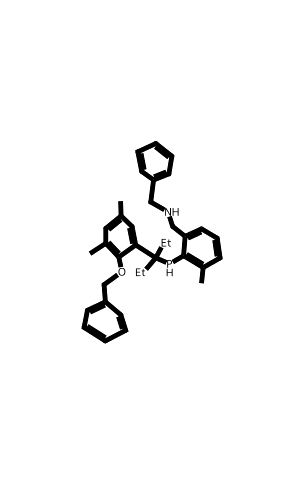 CCC(CC)(Pc1c(C)cccc1CNCc1ccccc1)c1cc(C)cc(C)c1OCc1ccccc1